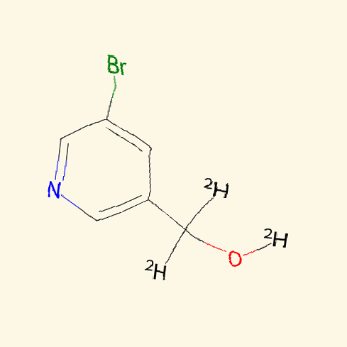 [2H]OC([2H])([2H])c1cncc(Br)c1